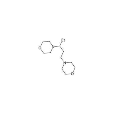 [CH2]CC(CCN1CCOCC1)N1CCOCC1